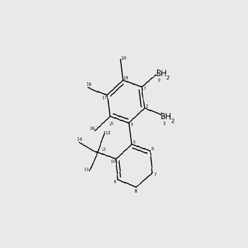 Bc1c(B)c(C2=CCCC=C2C(C)(C)C)c(C)c(C)c1C